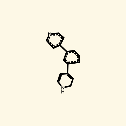 C1=CC(c2cccc(-c3ccncc3)c2)=CCN1